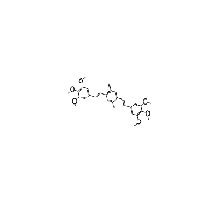 COc1cc(C=Cc2cc(C)c(C=Cc3cc(OC)c(OC)c(OC)c3)cc2C)cc(OC)c1OC